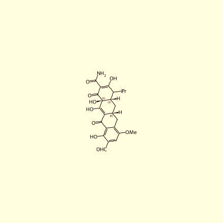 COc1cc(C=O)c(O)c2c1C[C@H]1C[C@H]3C(C(C)C)C(O)=C(C(N)=O)C(=O)[C@@]3(O)C(O)=C1C2=O